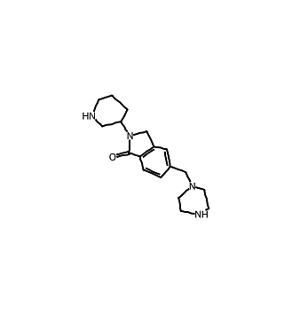 O=C1c2ccc(CN3CCNCC3)cc2CN1C1CCCNC1